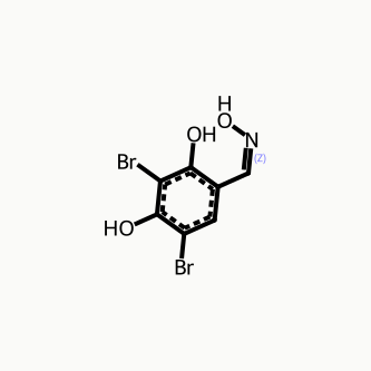 O/N=C\c1cc(Br)c(O)c(Br)c1O